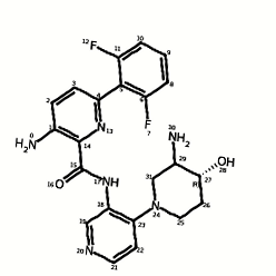 Nc1ccc(-c2c(F)cccc2F)nc1C(=O)Nc1cnccc1N1CC[C@@H](O)C(N)C1